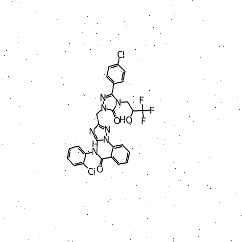 O=C(Nc1ccccc1Cl)c1ccccc1-n1cnc(Cn2nc(-c3ccc(Cl)cc3)n(CC(O)C(F)(F)F)c2=O)n1